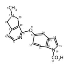 CN1Cc2ncnc(Oc3ccc4c(ccn4C(=O)O)c3)c2C1